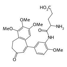 COc1ccc(C2=CC(=O)CCc3c2cc(OC)c(OC)c3OC)cc1NC(=O)C(N)CCC(=O)O